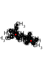 CCOc1ccc([SiH2]CC(C)(OC(C)(C[SiH2]c2ccc(OCC)cc2)c2ccc(C)c(Oc3ccccc3)n2)c2ccc(C)c(Oc3ccccc3)n2)cc1.Cc1ccc(C(C)(C[SiH2]c2ccccc2)OC(C)(C[SiH2]c2ccccc2)c2ccc(C)c(Oc3ccccc3)n2)nc1Oc1ccccc1